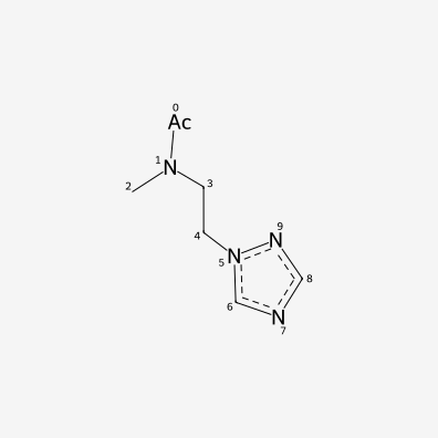 CC(=O)N(C)CCn1cncn1